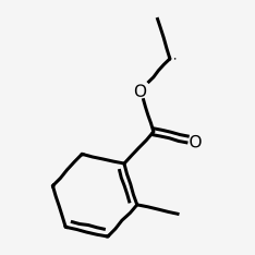 C[CH]OC(=O)C1=C(C)C=CCC1